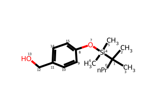 CCCC(C)(C)[Si](C)(C)Oc1ccc(CO)cc1